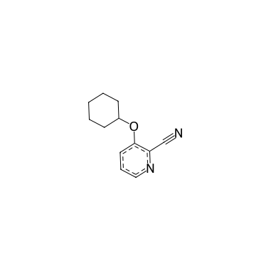 N#Cc1ncccc1OC1CCCCC1